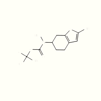 Cc1cc2c(s1)CC(N(C)C(=O)OC(C)(C)C)CC2